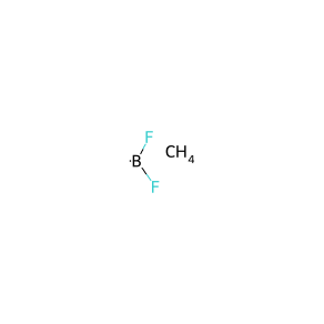 C.F[B]F